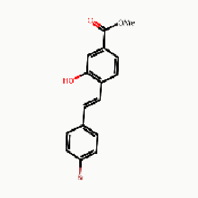 COC(=O)c1ccc(C=Cc2ccc(Br)cc2)c(O)c1